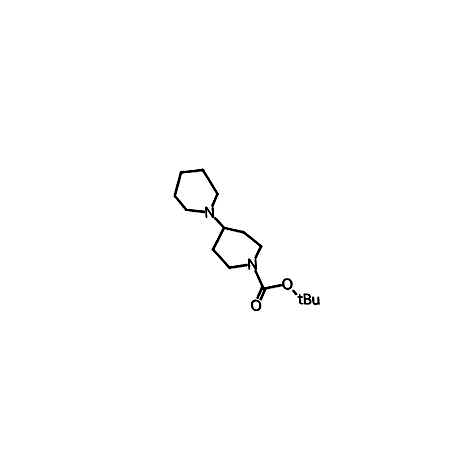 CC(C)(C)OC(=O)N1CCC(N2CCCCC2)CC1